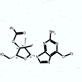 CCOc1nc(N)nc2c1ncn2[C@@H]1O[C@H](CO)[C@@H](OC(=O)C(C)C)[C@@]1(C)F